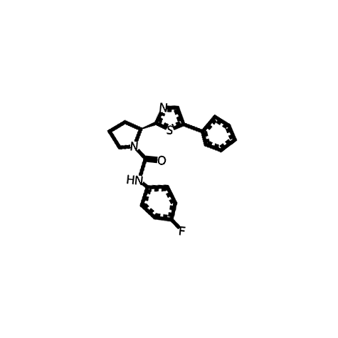 O=C(Nc1ccc(F)cc1)N1CCC[C@H]1c1ncc(-c2ccccc2)s1